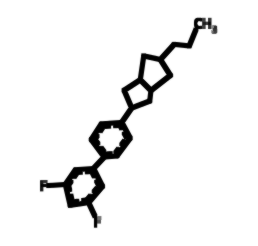 CCCC1CC2CC(c3ccc(-c4cc(F)cc(F)c4)cc3)CC2C1